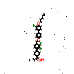 C=CCCCOc1ccc(-c2ccc(OCc3ccc(C4CCC(C(O)CCC)CC4)c(F)c3F)cc2)cc1F